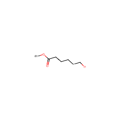 CC(C)OC(=O)CCCCC[O]